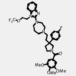 COc1cc(C(=O)N2CCC(CCN3CCCN(c4nc5ccccc5n4CCOC(F)(F)F)CC3)(c3ccc(F)cc3)C2)cc(OC)c1OC